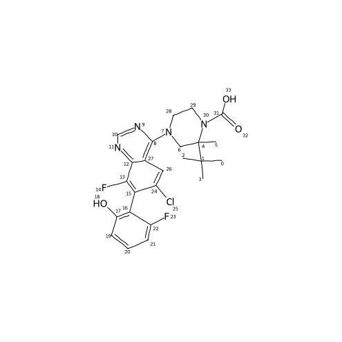 CC(C)(C)C1(C)CN(c2ncnc3c(F)c(-c4c(O)cccc4F)c(Cl)cc23)CCN1C(=O)O